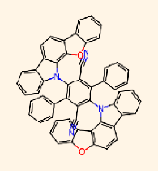 N#Cc1c(-c2ccccc2)c(-n2c3ccccc3c3ccc4oc5ccccc5c4c32)c(C#N)c(-c2ccccc2)c1-n1c2ccccc2c2ccc3c4ccccc4oc3c21